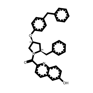 O=C(c1ccc2cc(O)ccc2n1)N1C[C@@H](Oc2ccc(Cc3ccccc3)cc2)C[C@H]1Cc1ccccc1